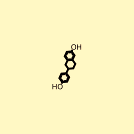 Oc1ccc(C2CCc3cc(O)ccc3C2)cc1